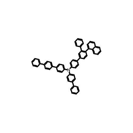 c1ccc(-c2ccc(-c3ccc(N(c4ccc(-c5ccccc5)cc4)c4ccc(-c5ccc(-c6cccc7ccccc67)c(-c6ccccc6)c5)cc4)cc3)cc2)cc1